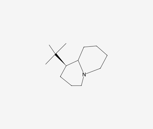 CC(C)(C)[C@@H]1CCCN2CCCCC12